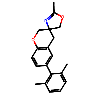 CC1=NC2(CO1)COc1ccc(-c3c(C)cccc3C)cc1C2